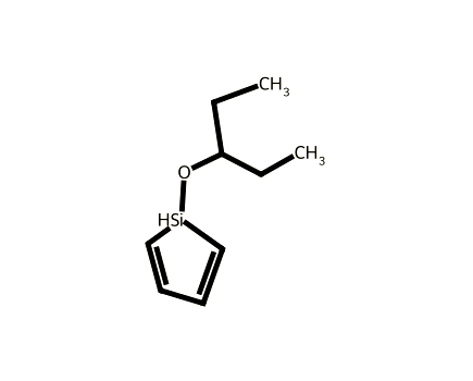 CCC(CC)O[SiH]1C=CC=C1